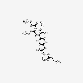 CCCC(=O)N[C@H](CO)[C@@H](O)Cc1cnc(C[C@H](O)[C@@H](CO)N(C(=O)CCC)C(=O)CCC)cn1